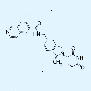 C=C1c2ccc(CNC(=O)c3ccc4cnccc4c3)cc2CN1C1CCC(=O)NC1=O